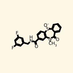 CN1C(=O)c2ccccc2[S+]([O-])c2ccc(C(=O)NCc3cc(F)cc(F)c3)cc21